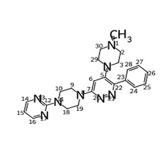 CN1CCN(c2cc(N3CCN(c4ncccn4)CC3)nnc2-c2ccccc2)CC1